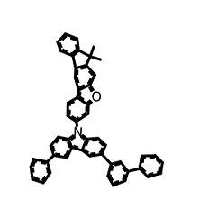 CC1(C)c2ccccc2-c2cc3c(cc21)oc1cc(-n2c4ccc(-c5ccccc5)cc4c4cc(-c5cccc(-c6ccccc6)c5)ccc42)ccc13